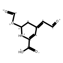 O=C/C=C1\C=C(C(=O)O)NC(OC=O)C1